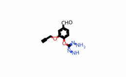 C#CCOc1cc(C=O)ccc1OC(N=N)=NN